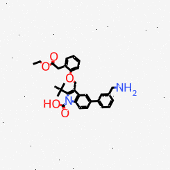 CCOC(=O)Cc1ccccc1OCc1c(C(C)(C)C)n(C(=O)O)c2ccc(-c3cccc(CN)c3)cc12